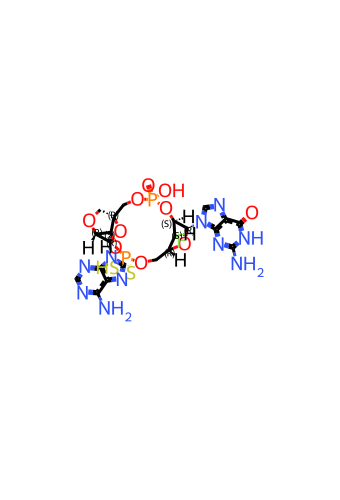 Nc1nc2c(ncn2[C@@H]2O[C@@H]3COP(=S)(S)O[C@H]4[C@H]5OC[C@]4(COP(=O)(O)O[C@@H]2[C@H]3F)O[C@H]5n2cnc3c(N)ncnc32)c(=O)[nH]1